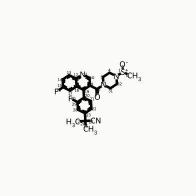 C[S+]([O-])N1CCN(C(=O)c2cnc3ccc(F)cc3c2-c2ccc(C(C)(C)C#N)cc2F)CC1